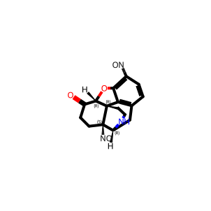 O=Nc1ccc2c3c1O[C@H]1C(=O)CC[C@@]4(N=O)[C@@H](C2)NCC[C@]314